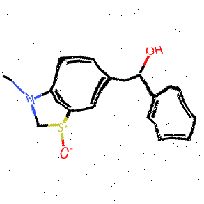 CN1C[S+]([O-])c2cc(C(O)c3ccccc3)ccc21